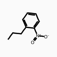 CCCc1c[c]ccc1[N+](=O)[O-]